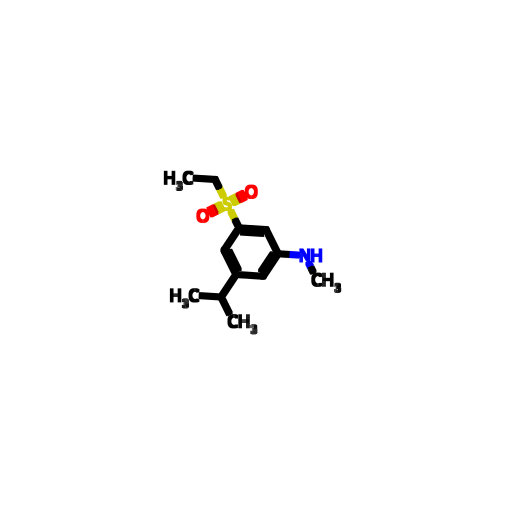 CCS(=O)(=O)c1cc(NC)cc(C(C)C)c1